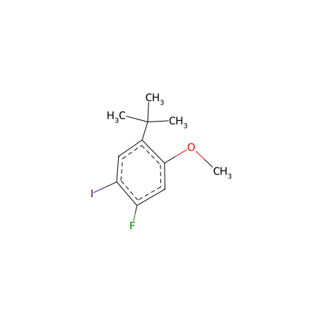 COc1cc(F)c(I)cc1C(C)(C)C